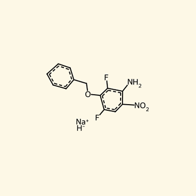 Nc1c([N+](=O)[O-])cc(F)c(OCc2ccccc2)c1F.[H-].[Na+]